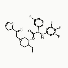 CCC1CCN(CC(=O)C2CC=CS2)C[C@@H]1OC(=O)C(Nc1cc(F)c(F)c(F)c1)c1cccc(F)c1